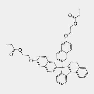 C=CC(=O)OCCOc1ccc2cc(C3(c4ccc5cc(OCCOC(=O)C=C)ccc5c4)c4ccccc4-c4c3ccc3ccccc43)ccc2c1